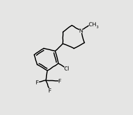 CN1CCC(c2cccc(C(F)(F)F)c2Cl)CC1